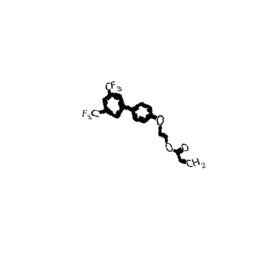 C=CC(=O)OCCOc1ccc(-c2cc(C(F)(F)F)cc(C(F)(F)F)c2)cc1